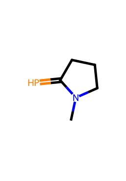 CN1CCCC1=P